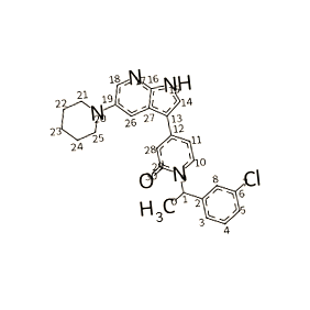 CC(c1cccc(Cl)c1)n1ccc(-c2c[nH]c3ncc(N4CCCCC4)cc23)cc1=O